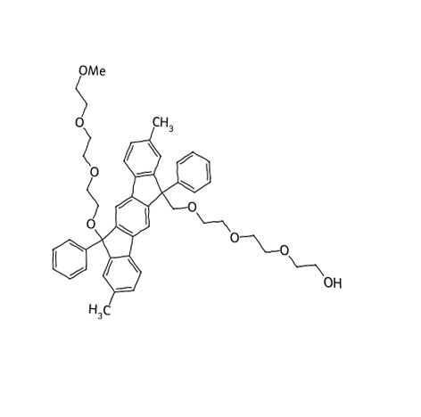 COCCOCCOCCOC1(c2ccccc2)c2cc(C)ccc2-c2cc3c(cc21)-c1ccc(C)cc1C3(COCCOCCOCCO)c1ccccc1